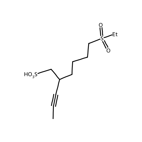 CC#CC(CCCCS(=O)(=O)CC)CS(=O)(=O)O